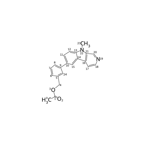 CC(=O)OCc1cccc(-c2ccc3c(c2)c2ccncc2n3C)c1